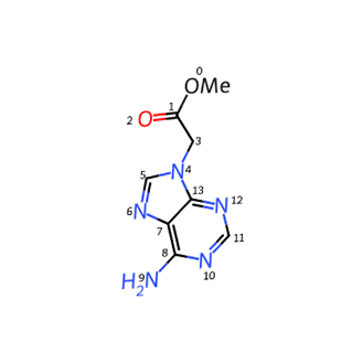 COC(=O)Cn1cnc2c(N)ncnc21